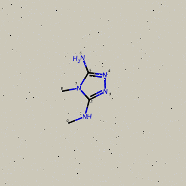 CNc1nnc(N)n1C